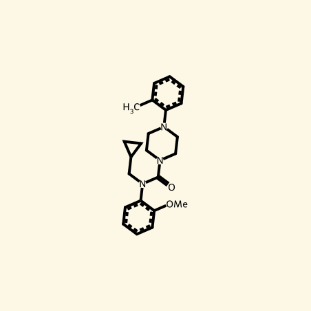 COc1ccccc1N(CC1CC1)C(=O)N1CCN(c2ccccc2C)CC1